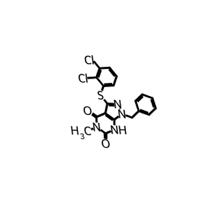 Cn1c(=O)[nH]c2c(c(Sc3cccc(Cl)c3Cl)nn2Cc2ccccc2)c1=O